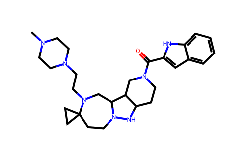 CN1CCN(CCN2CC3C4CN(C(=O)c5cc6ccccc6[nH]5)CCC4NN3CCC23CC3)CC1